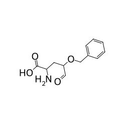 NC(CC(C=O)OCc1ccccc1)C(=O)O